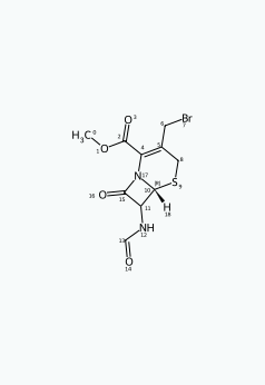 COC(=O)C1=C(CBr)CS[C@@H]2C(NC=O)C(=O)N12